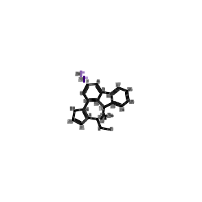 CCCC1=C(c2cccc3c2[CH]([Zr+2])c2ccccc2-3)CC=C1.[I-].[I-]